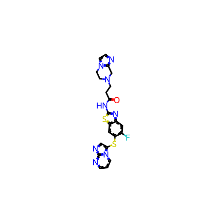 O=C(CCN1CCn2ccnc2C1)Nc1nc2cc(F)c(Sc3cnc4ncccn34)cc2s1